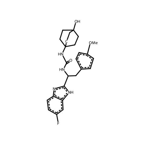 COc1ccc(CC(NC(=O)NC23CCC(O)(CC2)CC3)c2nc3ccc(F)cc3[nH]2)cc1